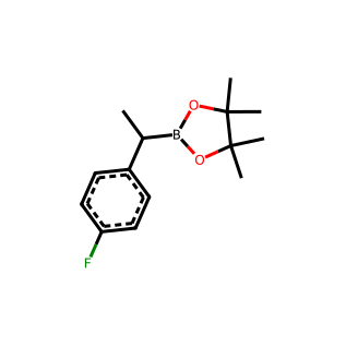 CC(B1OC(C)(C)C(C)(C)O1)c1ccc(F)cc1